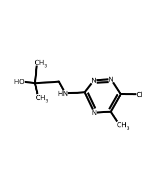 Cc1nc(NCC(C)(C)O)nnc1Cl